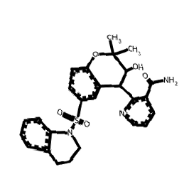 CC1(C)Oc2ccc(S(=O)(=O)N3CCCc4ccccc43)cc2C(c2ncccc2C(N)=O)C1O